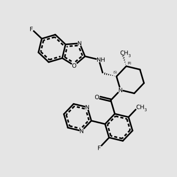 Cc1ccc(F)c(-c2ncccn2)c1C(=O)N1CCC[C@@H](C)[C@H]1CNc1nc2cc(F)ccc2o1